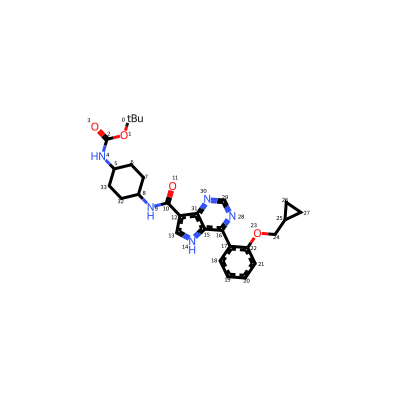 CC(C)(C)OC(=O)NC1CCC(NC(=O)c2c[nH]c3c(-c4ccccc4OCC4CC4)ncnc23)CC1